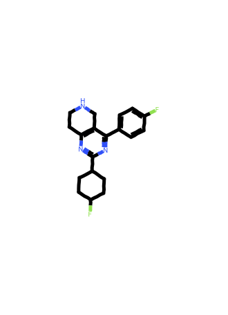 Fc1ccc(-c2nc(C3CCC(F)CC3)nc3c2CNCC3)cc1